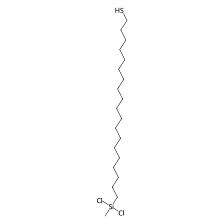 C[Si](Cl)(Cl)CCCCCCCCCCCCCCCCCCCS